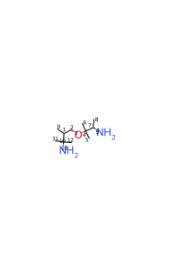 CC(COC(C)(C)C(C)N)C(C)(C)N